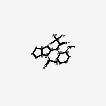 CO[C@@H]1COCC[C@@H]1N(C(=O)C(F)(F)F)C1CC2CCCC2[C@H]1C(=O)O